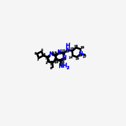 Cc1cc(C2CCC2)nc2nc(NC3CCN(C)CC3)nc(N)c12